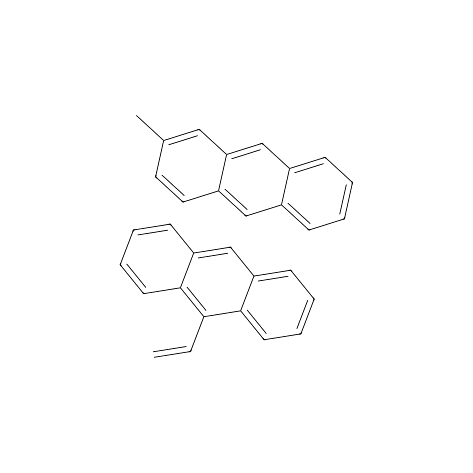 C=Cc1c2ccccc2cc2ccccc12.Cc1ccc2cc3ccccc3cc2c1